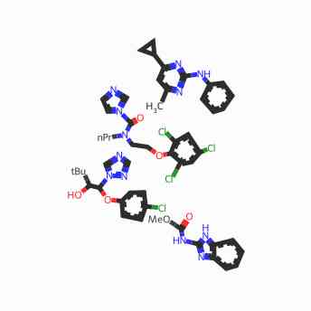 CC(C)(C)C(O)C(Oc1ccc(Cl)cc1)n1cncn1.CCCN(CCOc1c(Cl)cc(Cl)cc1Cl)C(=O)n1ccnc1.COC(=O)Nc1nc2ccccc2[nH]1.Cc1cc(C2CC2)nc(Nc2ccccc2)n1